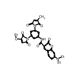 CCOC1=CC(=O)N(c2cc(NC(=O)c3cc4ccc(N(CC)CC)cc4oc3=O)cc(N3C(=O)C=C(C)C3=O)c2)C1=O